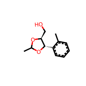 Cc1ccccc1[C@@H]1OC(C)O[C@H]1CO